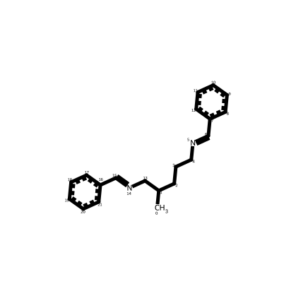 CC(CCCN=Cc1ccccc1)CN=Cc1ccccc1